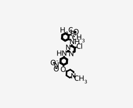 CN1CCC(Oc2ccc(Nc3ncc(Cl)c(Nc4ccccc4P(C)(C)=O)n3)cc2[N+](=O)[O-])CC1